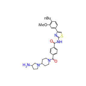 CCCCc1ccc(-c2csc(NC(=O)c3ccc(C(=O)N4CCC(N5CCC(N)C5)CC4)cc3)n2)cc1OC